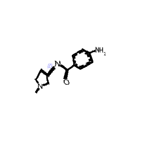 CN1CC/C(=N/C(=O)c2ccc(N)cc2)C1